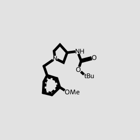 COc1cccc(CN2CCC(NC(=O)OC(C)(C)C)C2)c1